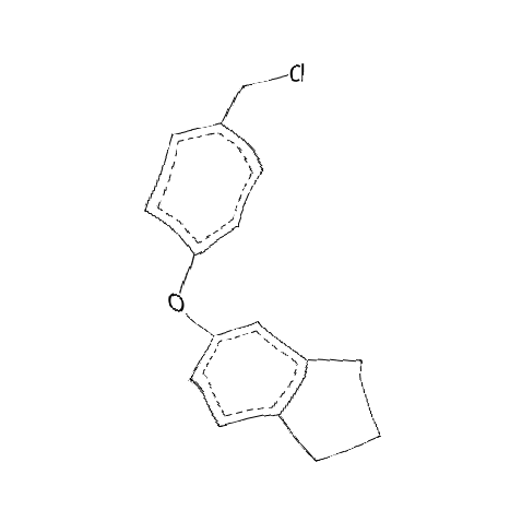 ClCc1ccc(Oc2ccc3c(c2)CCC3)cc1